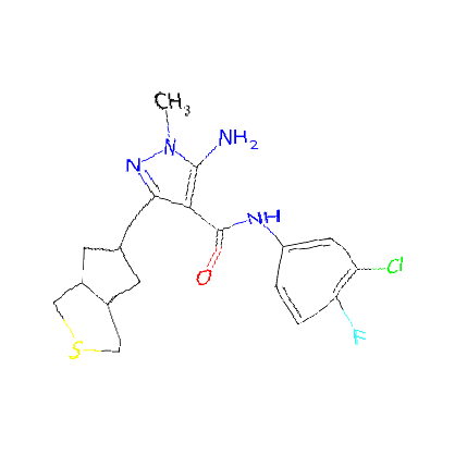 Cn1nc(C2CC3CSCC3C2)c(C(=O)Nc2ccc(F)c(Cl)c2)c1N